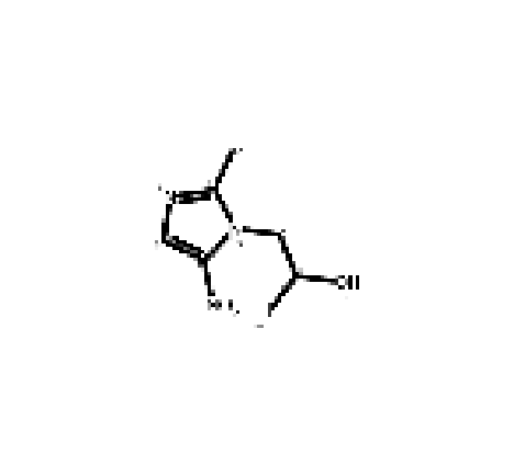 Cc1ncc([N+](=O)[O-])n1CC(O)I